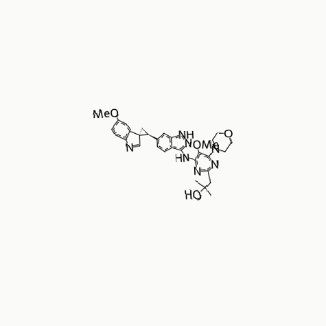 COc1ccc2c(c1)[C@@]1(C=N2)C[C@H]1c1ccc2c(Nc3nc(CC(C)(C)O)nc(N4CCOCC4)c3OC)n[nH]c2c1